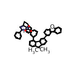 CC1(C)c2ccc(-c3ccc4oc5ccccc5c4c3)cc2-c2c(-c3cccc(C4=C/CC/C(c5ccccc5)=C/C(c5ccccc5)=N\4)c3)cccc21